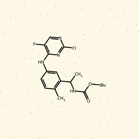 Cc1ccc(Nc2nc(Cl)ncc2F)cc1C(C)NC(=O)OC(C)(C)C